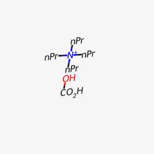 CCC[N+](CCC)(CCC)CCC.O=C(O)O